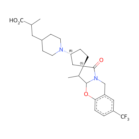 CC(CC1CCN([C@@H]2CC[C@@]3(C2)C(=O)N2Cc4cc(C(F)(F)F)ccc4OC2C3C)CC1)C(=O)O